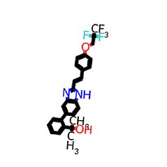 CC(C)(O)c1ccccc1-c1ccc2[nH]c(C=Cc3ccc(OCC(F)(F)C(F)(F)F)cc3)nc2c1